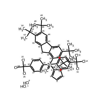 Cl.Cl.[CH2]=[Zr]([C]1=CC=CC1)([c]1ccc(C(Cl)(Cl)Cl)cc1)([c]1ccc(C(Cl)(Cl)Cl)cc1)[c]1c2c(cc(C(C)(C)C)c1C(C)(C)C)-c1cc(C(C)(C)C)c(C(C)(C)C)cc1C2